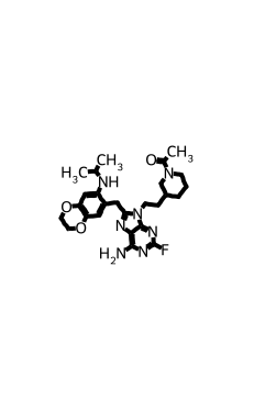 CC(=O)N1CCCC(CCn2c(Cc3cc4c(cc3NC(C)C)OCCO4)nc3c(N)nc(F)nc32)C1